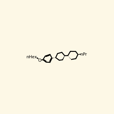 CCCCCCOc1ccc([C@H]2CC[C@H]([C@H]3CC[C@H](CCC)CC3)CC2)cc1